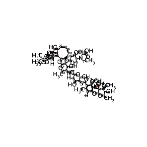 CCN(CC(=O)O)[C@H]1CO[C@@H](O[C@H]2[C@H](O[C@H]3C#C/C=C\C#C[C@]4(O)CC(=O)C(NC(=O)OC)=C3/C4=C\CSSC(C)C)O[C@H](C)[C@@H](NO[C@H]3C[C@H](O)[C@H](SC(=O)c4c(C)c(I)c(O[C@@H]5O[C@@H](C)[C@H](O)[C@@H](OC)[C@H]5O)c(OC)c4OC)[C@@H](C)O3)[C@@H]2O)C[C@@H]1OC